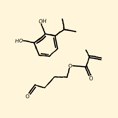 C=C(C)C(=O)OCCCC=O.CC(C)c1cccc(O)c1O